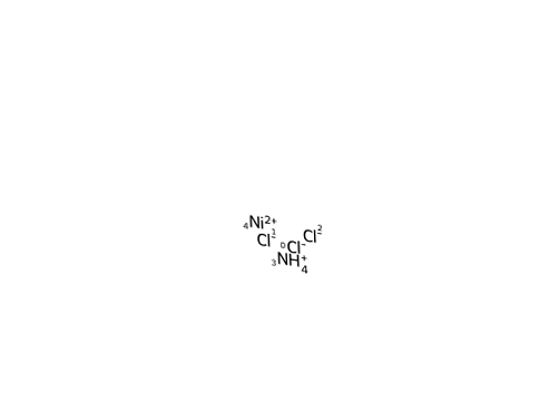 [Cl-].[Cl-].[Cl-].[NH4+].[Ni+2]